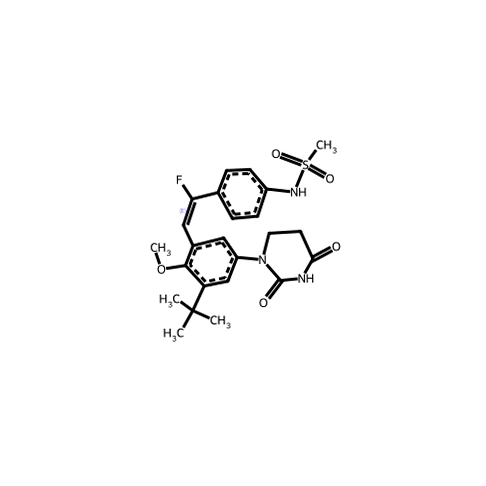 COc1c(/C=C(/F)c2ccc(NS(C)(=O)=O)cc2)cc(N2CCC(=O)NC2=O)cc1C(C)(C)C